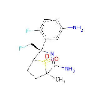 C[C@@]12CCC([C@](CF)(c3cc(N)ccc3F)N=C1N)S2(=O)=O